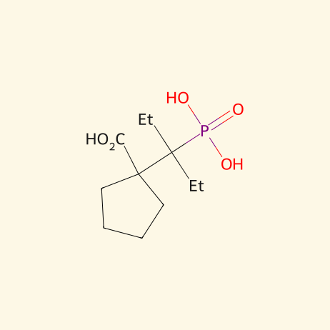 CCC(CC)(C1(C(=O)O)CCCC1)P(=O)(O)O